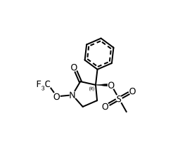 CS(=O)(=O)O[C@@]1(c2ccccc2)CCN(OC(F)(F)F)C1=O